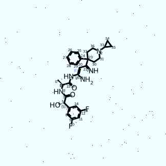 C[C@H](NC(=O)[C@@H](O)c1cc(F)cc(F)c1)C(=O)N/C(N)=C/C(=N)C1(c2ccccc2)CCN(C2CC2)CC1